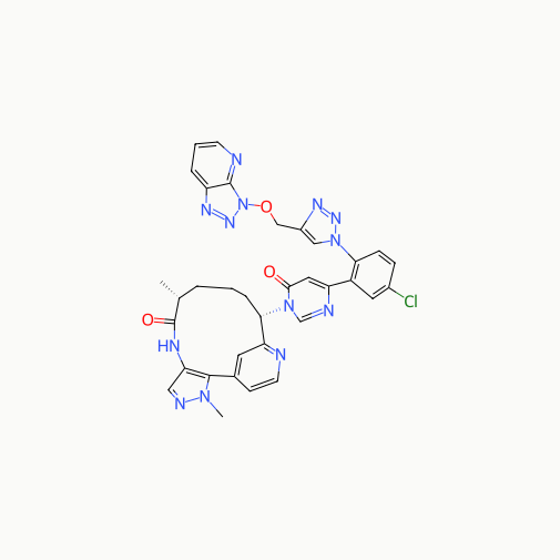 C[C@@H]1CCC[C@H](n2cnc(-c3cc(Cl)ccc3-n3cc(COn4nnc5cccnc54)nn3)cc2=O)c2cc(ccn2)-c2c(cnn2C)NC1=O